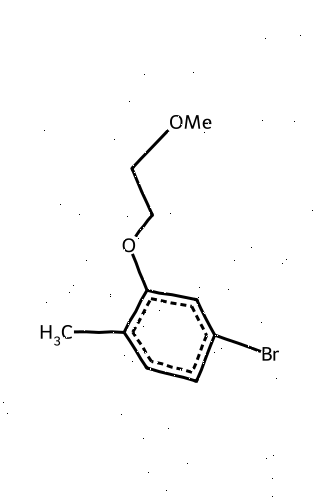 COCCOc1cc(Br)ccc1C